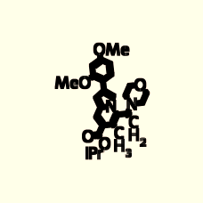 C=C(c1c(C)c(C(=O)OC(C)C)cc2cc(-c3ccc(OC)cc3OC)cn12)N1CCOCC1